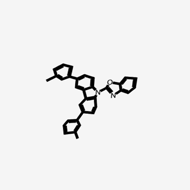 Cc1cccc(-c2ccc3c(c2)c2cc(-c4cccc(C)c4)ccc2n3-c2nc3ccccc3o2)c1